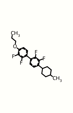 CCCOc1ccc(-c2ccc(C3CCC(C)CC3)c(F)c2F)c(F)c1F